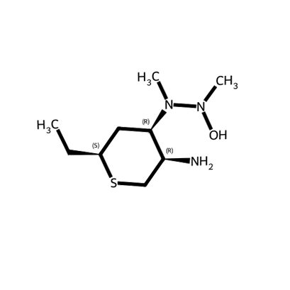 CC[C@H]1C[C@@H](N(C)N(C)O)[C@@H](N)CS1